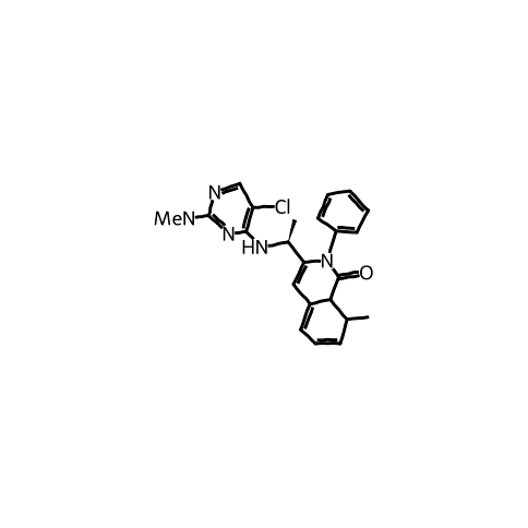 CNc1ncc(Cl)c(N[C@@H](C)C2=CC3=CC=CC(C)C3C(=O)N2c2ccccc2)n1